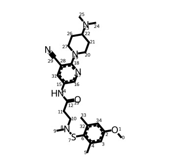 COc1cc(C)c(SN(C)CCC(=O)Nc2cnc(N3CCC(N(C)C)CC3)c(C#N)c2)c(C)c1